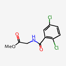 COC(=O)CNC(=O)c1cc(Cl)ccc1Cl